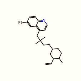 C=CC1CC(CCC(C)(C)Cc2ccnc3ccc(CC)cc23)CCC1C